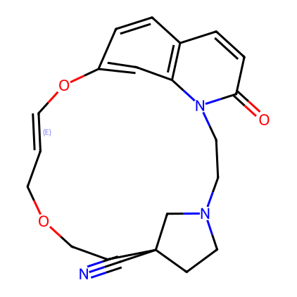 N#CC12CCOC/C=C/Oc3ccc4ccc(=O)n(c4c3)CCN(CC1)C2